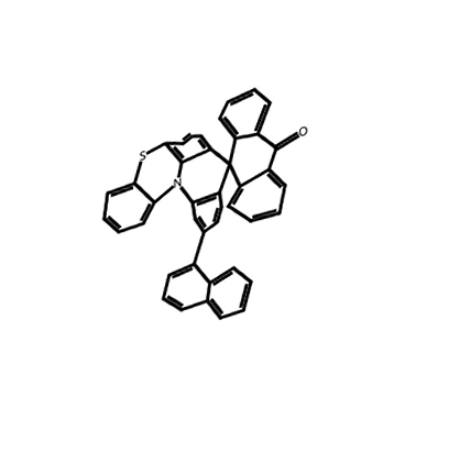 O=C1c2ccccc2C2(c3ccccc31)c1ccc(-c3cccc4ccccc34)cc1N1c3ccccc3Sc3cccc2c31